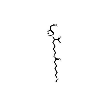 COCCCCCC(=O)OCCCCC(C(C)=O)n1cc(CN)nn1